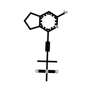 [2H]c1cc2c(c(C#CC(C)(C)S(C)(=O)=O)n1)CCC2